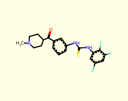 CN1CCC(C(=O)c2cccc(NC(=S)Nc3cc(F)cc(F)c3F)c2)CC1